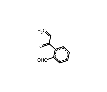 C=CC(=O)c1ccccc1C=O